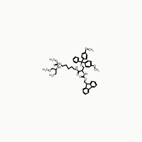 CCC(COC)NP(=S)(OC)OCCCCCNC(=O)C(COC(c1ccccc1)(c1ccc(OC)cc1)c1ccc(OC)cc1)NC(=O)OCC1c2ccccc2-c2ccccc21